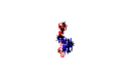 COC(=O)c1nc(C)c2c(n1)N(C(=O)Nc1cc(OCC3COC(C)(C)O3)ccn1)[C@H]1CCN2C1